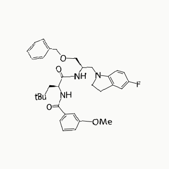 COc1cccc(C(=O)N[C@@H](CC(C)(C)C)C(=O)N[C@@H](COCc2ccccc2)CN2CCc3cc(F)ccc32)c1